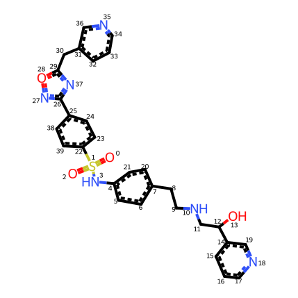 O=S(=O)(Nc1ccc(CCNCC(O)c2cccnc2)cc1)c1ccc(-c2noc(Cc3cccnc3)n2)cc1